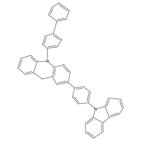 c1ccc(-c2ccc(N3c4ccccc4Cc4cc(-c5ccc(-n6c7ccccc7c7ccccc76)cc5)ccc43)cc2)cc1